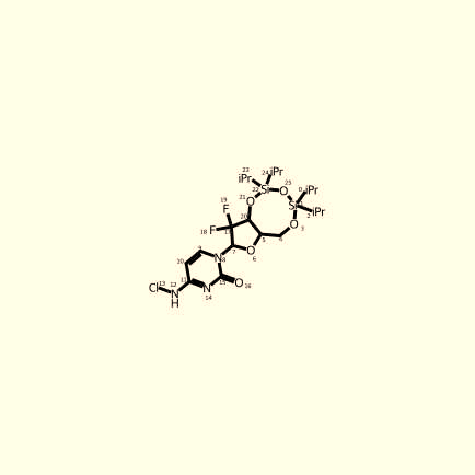 CC(C)[Si]1(C(C)C)OCC2OC(n3ccc(NCl)nc3=O)C(F)(F)C2O[Si](C(C)C)(C(C)C)O1